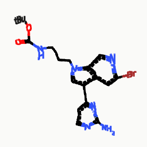 CC(C)(C)OC(=O)NCCCn1cc(-c2ccnc(N)n2)c2cc(Br)ncc21